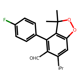 CC(C)c1cc2c(c(-c3ccc(F)cc3)c1C=O)C(C)(C)OO2